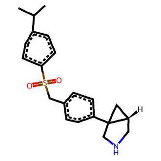 CC(C)c1ccc(S(=O)(=O)Cc2ccc(C34CNC[C@H]3C4)cc2)cc1